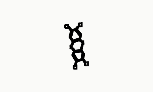 Clc1cc2c(cc1Cl)Sc1cc(Cl)c(Cl)cc1S2